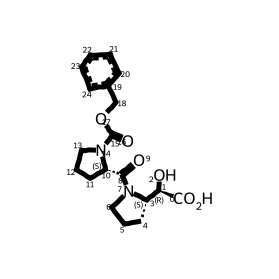 O=C(O)[C@H](O)[C@@H]1CCCN1C(=O)[C@@H]1CCCN1C(=O)OCc1ccccc1